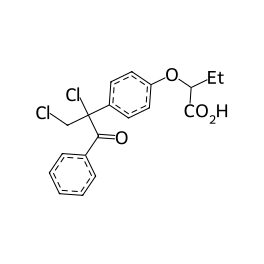 CCC(Oc1ccc(C(Cl)(CCl)C(=O)c2ccccc2)cc1)C(=O)O